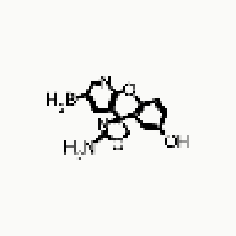 Bc1cnc2c(c1)[C@]1(COC(N)=N1)c1cc(O)ccc1O2